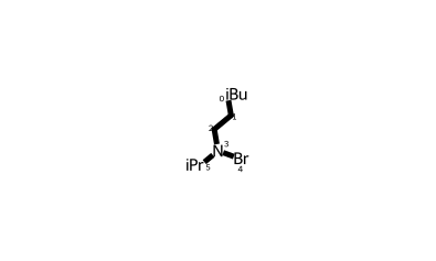 CCC(C)CCN(Br)C(C)C